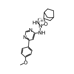 COc1ccc(-c2cc(NN3NC[C@]4(CC5CCC4CC5)O3)ncn2)cc1